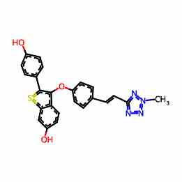 Cn1nnc(C=Cc2ccc(Oc3c(-c4ccc(O)cc4)sc4cc(O)ccc34)cc2)n1